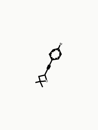 CC1(C)CC(C#Cc2ccc(Br)cc2)O1